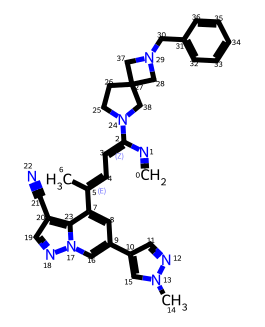 C=N/C(=C\C=C(/C)c1cc(-c2cnn(C)c2)cn2ncc(C#N)c12)N1CCC2(CN(Cc3ccccc3)C2)C1